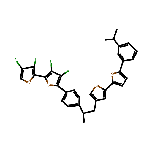 CC(C)c1cccc(-c2ccc(-c3cc(CC(C)c4ccc(-c5sc(-c6scc(F)c6F)c(F)c5F)cc4)cs3)s2)c1